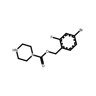 O=C(OCc1ccc(Br)cc1F)N1CCNCC1